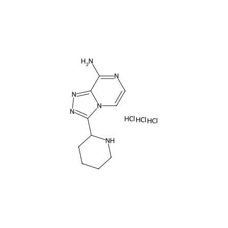 Cl.Cl.Cl.Nc1nccn2c(C3CCCCN3)nnc12